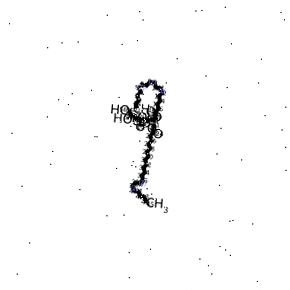 CCCCC/C=C\C/C=C\C/C=C\CCCCC(=O)O[C@H](COC(=O)CCCCCCCCCCC/C=C\C/C=C\CCCCC)COP(=O)(O)OC[C@@H](O)CO